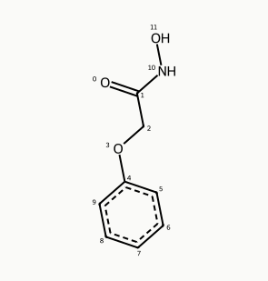 O=C(COc1ccccc1)NO